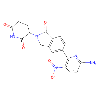 Nc1ccc([N+](=O)[O-])c(-c2ccc3c(c2)CN(C2CCC(=O)NC2=O)C3=O)n1